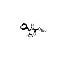 CC(C)(C)OC(=O)N[C@H](CN)c1ccsc1